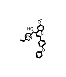 C=CC1CN2CCC1CC2[C@H](O)c1cc(-c2ccc(Oc3ccccc3)cc2)nc2ccc(OC)cc12